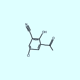 CC(=O)c1cc(Cl)cc(C#N)c1O